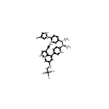 C[C@@H](c1ccc(-n2cc(F)cn2)nc1)N(C)c1ccc(-c2cc(OCC(F)(F)F)cn3ncc(C#N)c23)cn1